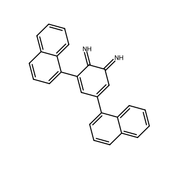 N=C1C=C(c2cccc3ccccc23)C=C(c2cccc3ccccc23)C1=N